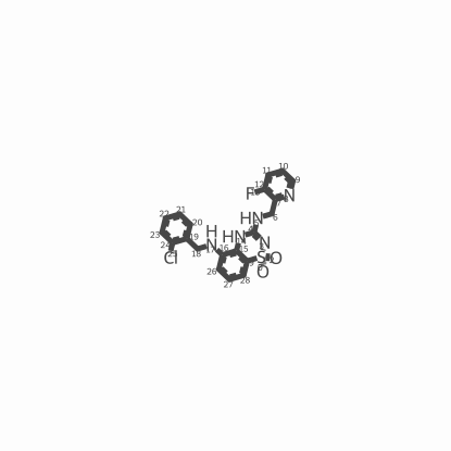 O=S1(=O)N=C(NCc2ncccc2F)Nc2c(NCc3ccccc3Cl)cccc21